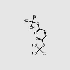 CCC(O)(O)OC(=O)/C=C\C(=O)OC(O)(O)CC